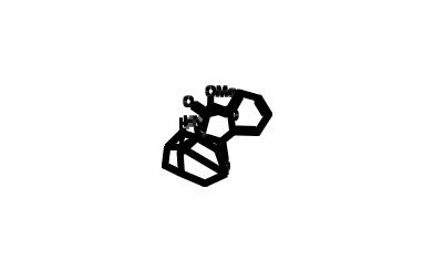 COC(=O)N[C@]12CC3CC(C1)[C@@H](N1C(=O)c4ccccc4C1=O)C(C3)C2